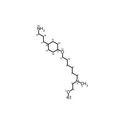 CCOCCN(C)CCCCCCOC1CCC(CCCN)CC1